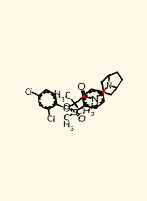 CC(C)(Oc1ccc(Cl)cc1Cl)C(=O)NC1CC2CCC(C1)N2c1ccc(S(C)(=O)=O)cc1